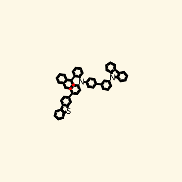 c1cc(-c2ccc(N(c3ccc(-c4ccc5c(c4)sc4ccccc45)cc3)c3ccccc3-c3cccc4ccccc34)cc2)cc(-n2c3ccccc3c3ccccc32)c1